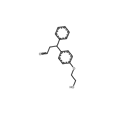 O=CCC(c1ccccc1)c1ccc(OCCO)cc1